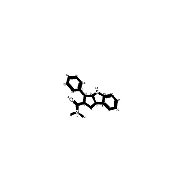 CN(C)C(=O)C1CC2c3ccccc3SC2C1c1ccccc1